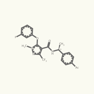 CC(=O)c1ccc([C@H](C)NC(=O)c2c(C(F)(F)F)nn(C)c2Oc2cccc(F)c2)cc1